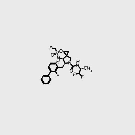 C[C@@H](NC(=O)N1CC2(CC2)[C@H](NS(=O)(=O)CF)[C@@H]1Cc1cccc(-c2ccccc2)c1F)C(F)F